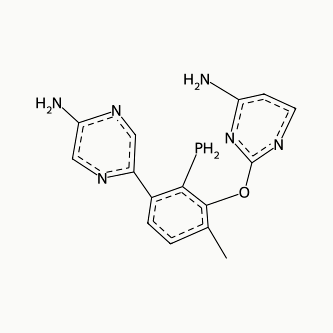 Cc1ccc(-c2cnc(N)cn2)c(P)c1Oc1nccc(N)n1